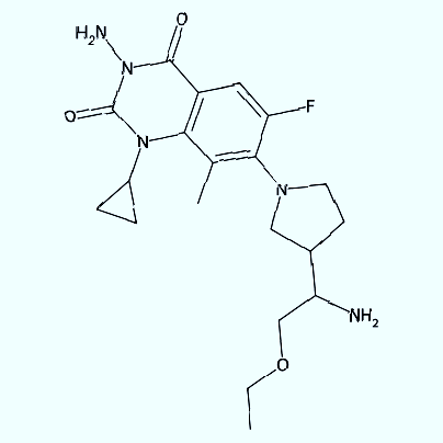 CCOCC(N)C1CCN(c2c(F)cc3c(=O)n(N)c(=O)n(C4CC4)c3c2C)C1